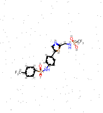 O=S(=O)(Nc1ccc(-c2cnc(CNS(=O)(=O)C(F)(F)F)s2)cc1)c1ccc(C(F)(F)F)cc1